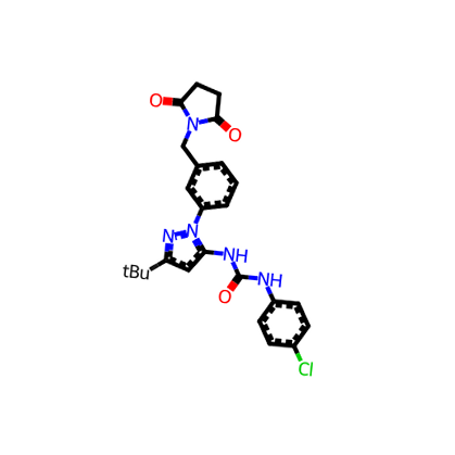 CC(C)(C)c1cc(NC(=O)Nc2ccc(Cl)cc2)n(-c2cccc(CN3C(=O)CCC3=O)c2)n1